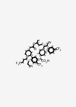 CC(C)CC[C@H](CCC(F)(F)F)N1CC[C@@H](CC(=O)OC(C)CC[C@H](CC(C)C)N2CC[C@@H](CC(=O)O)C[C@H]2c2ccc(C(F)(F)F)cc2)C[C@H]1c1ccc(C(F)(F)F)cc1